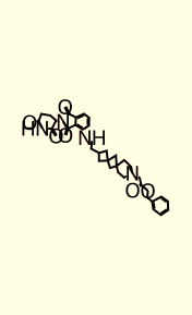 O=C1CCC(N2C(=O)c3cccc(NCCC4CC5(C4)CC4(CCN(CC(=O)OCc6ccccc6)CC4)C5)c3C2=O)C(=O)N1